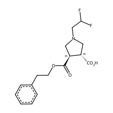 O=C(O)[C@H]1CN(CC(F)F)C[C@@H]1C(=O)OCCc1ccccc1